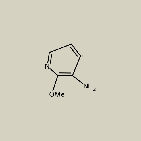 COc1ncc[c]c1N